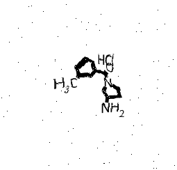 Cc1cccc(C(=O)N2CCC(N)C2)c1.Cl